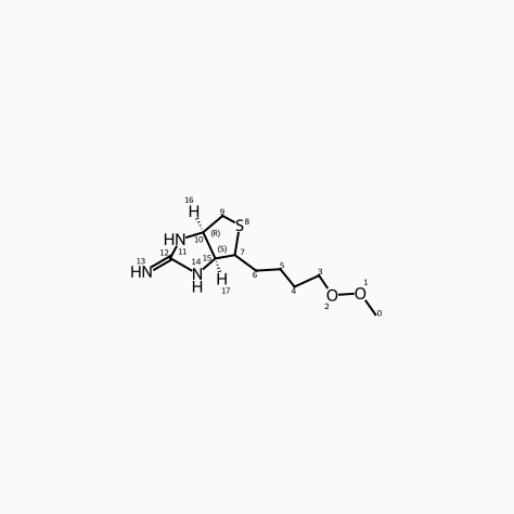 COOCCCCC1SC[C@@H]2NC(=N)N[C@H]12